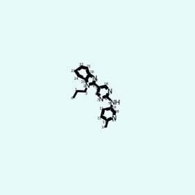 CCCn1c(-c2cnc(Nc3ccc(C)nc3)nc2)nc2ccccc21